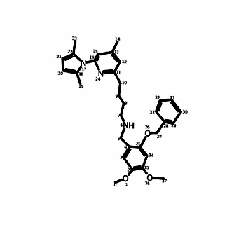 COc1cc(CNCCCCc2cc(C)cc(-n3c(C)ccc3C)n2)c(OCc2ccccc2)cc1OC